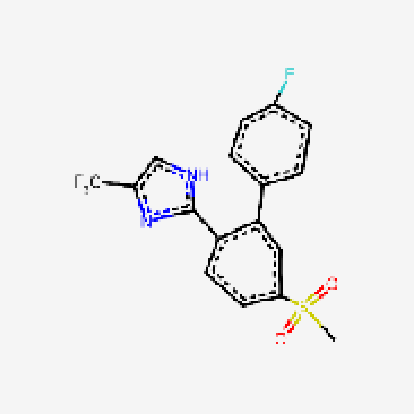 CS(=O)(=O)c1ccc(-c2nc(C(F)(F)F)c[nH]2)c(-c2ccc(F)cc2)c1